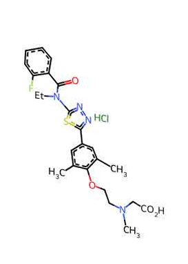 CCN(C(=O)c1ccccc1F)c1nnc(-c2cc(C)c(OCCN(C)CC(=O)O)c(C)c2)s1.Cl